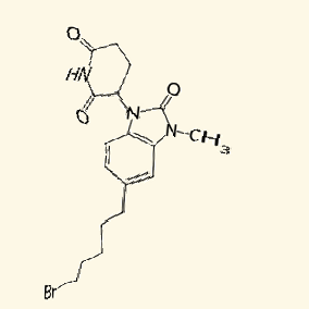 Cn1c(=O)n(C2CCC(=O)NC2=O)c2ccc(CCCCCBr)cc21